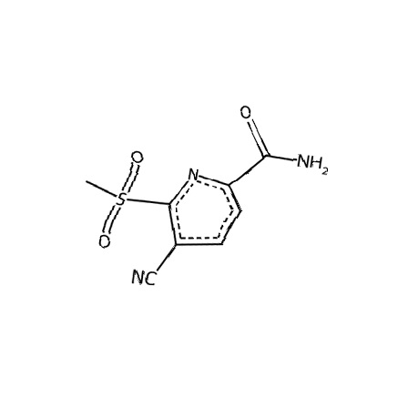 CS(=O)(=O)c1nc(C(N)=O)ccc1C#N